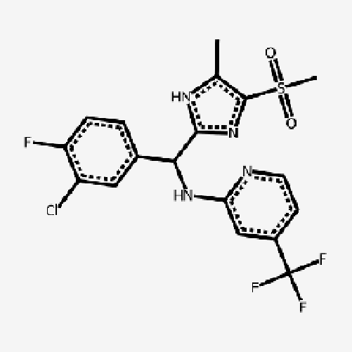 Cc1[nH]c(C(Nc2cc(C(F)(F)F)ccn2)c2ccc(F)c(Cl)c2)nc1S(C)(=O)=O